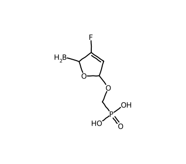 BC1OC(OCP(=O)(O)O)C=C1F